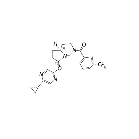 O=C(c1cccc(C(F)(F)F)c1)N1CC[C@@H]2CC[C@H](Oc3cnc(C4CC4)cn3)N2C1